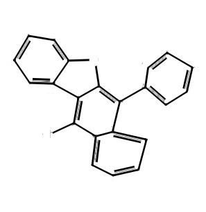 Clc1c2ccccc2c(-c2ccccc2)c2oc3ccccc3c12